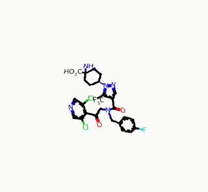 N[C@]1(C(=O)O)CC[C@@H](n2ncc(C(=O)N(CC(=O)c3c(Cl)cncc3Cl)Cc3ccc(F)cc3)c2C(F)(F)F)CC1